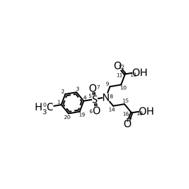 Cc1ccc(S(=O)(=O)N(CCC(=O)O)CCC(=O)O)cc1